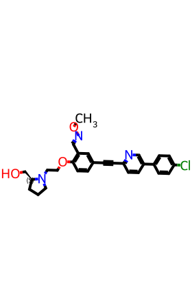 CON=Cc1cc(C#Cc2ccc(-c3ccc(Cl)cc3)cn2)ccc1OCCN1CCC[C@H]1CO